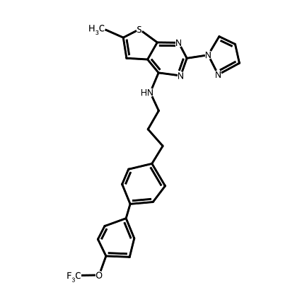 Cc1cc2c(NCCCc3ccc(-c4ccc(OC(F)(F)F)cc4)cc3)nc(-n3cccn3)nc2s1